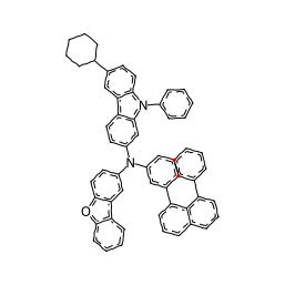 c1ccc(-c2cccc3cccc(-c4cccc(N(c5ccc6oc7ccccc7c6c5)c5ccc6c7cc(C8CCCCC8)ccc7n(-c7ccccc7)c6c5)c4)c23)cc1